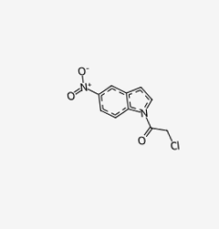 O=C(CCl)n1ccc2cc([N+](=O)[O-])ccc21